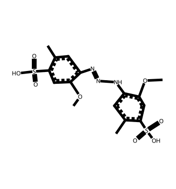 COc1cc(S(=O)(=O)O)c(C)cc1N=NNc1cc(C)c(S(=O)(=O)O)cc1OC